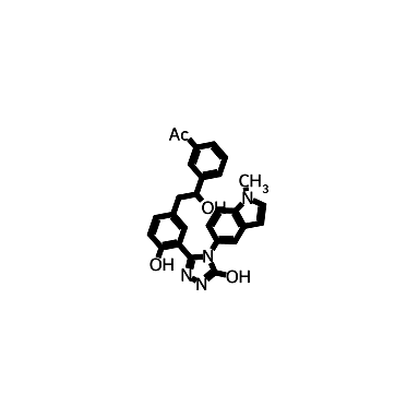 CC(=O)c1cccc(C(O)Cc2ccc(O)c(-c3nnc(O)n3-c3ccc4c(ccn4C)c3)c2)c1